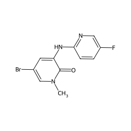 Cn1cc(Br)cc(Nc2ccc(F)cn2)c1=O